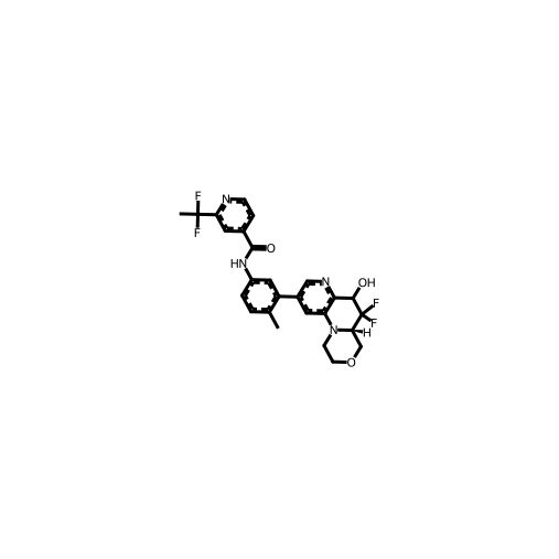 Cc1ccc(NC(=O)c2ccnc(C(C)(F)F)c2)cc1-c1cnc2c(c1)N1CCOC[C@H]1C(F)(F)C2O